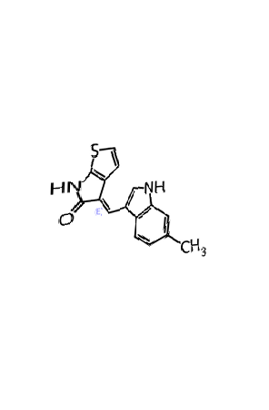 Cc1ccc2c(/C=C3/C(=O)Nc4sccc43)c[nH]c2c1